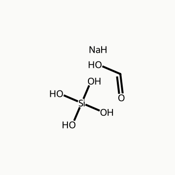 O=CO.O[Si](O)(O)O.[NaH]